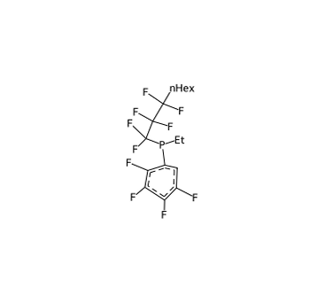 CCCCCCC(F)(F)C(F)(F)C(F)(F)P(CC)c1cc(F)c(F)c(F)c1F